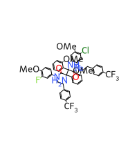 COc1ccc(N(CCc2ccc(C(F)(F)F)cc2)C(=O)C(N)(c2ccccc2OC)C(N)(C(=O)N(CCc2ccc(C(F)(F)F)cc2)c2ccc(OC)c(Cl)c2)c2ccccc2OC)cc1F